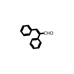 O=CC(=Cc1ccccc1)c1ccccc1